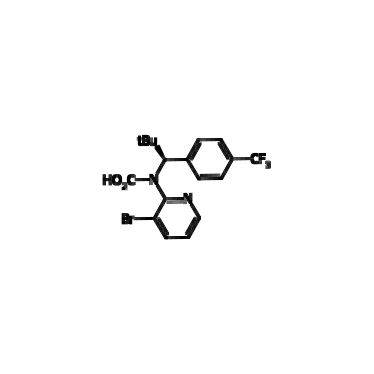 CC(C)(C)[C@@H](c1ccc(C(F)(F)F)cc1)N(C(=O)O)c1ncccc1Br